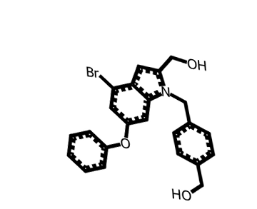 OCc1ccc(Cn2c(CO)cc3c(Br)cc(Oc4ccccc4)cc32)cc1